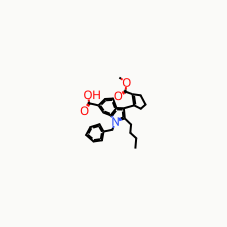 CCCCc1c(C2=C(C(=O)OC)CCC2)c2ccc(C(=O)O)cc2n1Cc1ccccc1